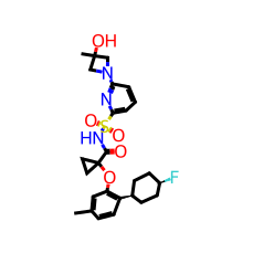 Cc1ccc([C@H]2CC[C@@H](F)CC2)c(OC2(C(=O)NS(=O)(=O)c3cccc(N4CC(C)(O)C4)n3)CC2)c1